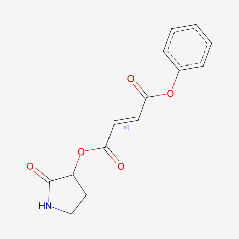 O=C(/C=C/C(=O)OC1CCNC1=O)Oc1ccccc1